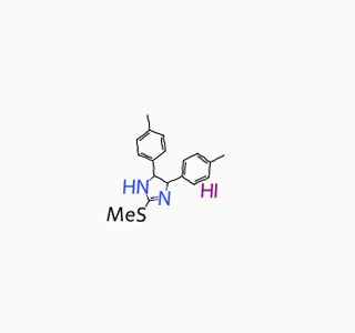 CSC1=NC(c2ccc(C)cc2)C(c2ccc(C)cc2)N1.I